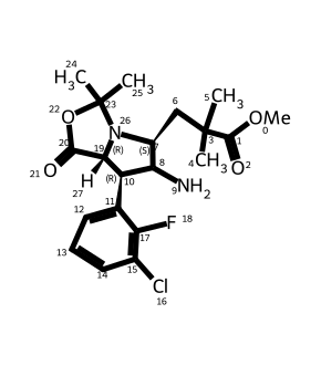 COC(=O)C(C)(C)C[C@H]1C(N)[C@@H](c2cccc(Cl)c2F)[C@@H]2C(=O)OC(C)(C)N12